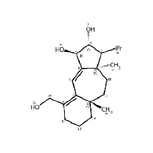 CC(C)C1[C@@H](O)[C@H](O)C2=CC3=C(CO)CCC[C@@]3(C)CC[C@@]21C